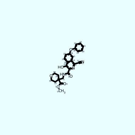 COC(=O)C1(CNC(=O)c2nc(C#N)c3cc(Oc4ccccc4)ccc3c2O)CCOCC1